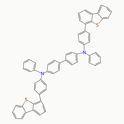 c1ccc(N(c2ccc(-c3ccc(N(c4ccccc4)c4ccc(-c5cccc6c5sc5ccccc56)cc4)cc3)cc2)c2ccc(-c3cccc4c3sc3ccccc34)cc2)cc1